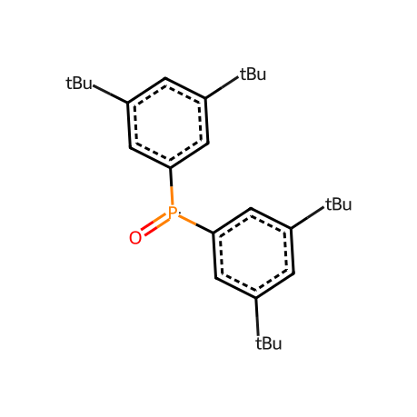 CC(C)(C)c1cc([P](=O)c2cc(C(C)(C)C)cc(C(C)(C)C)c2)cc(C(C)(C)C)c1